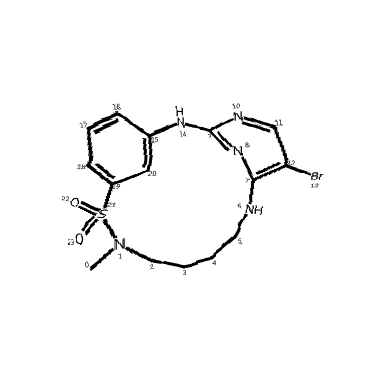 CN1CCCCNc2nc(ncc2Br)Nc2cccc(c2)S1(=O)=O